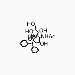 CCCCO[C@@]1([C](c2ccccc2)c2ccccc2)C[C@H](O)[C@@H](NC(C)=O)[C@H]([C@H](O)[C@H](O)CO)O1